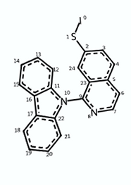 ISc1ccc2ccnc(-n3c4ccccc4c4ccccc43)c2c1